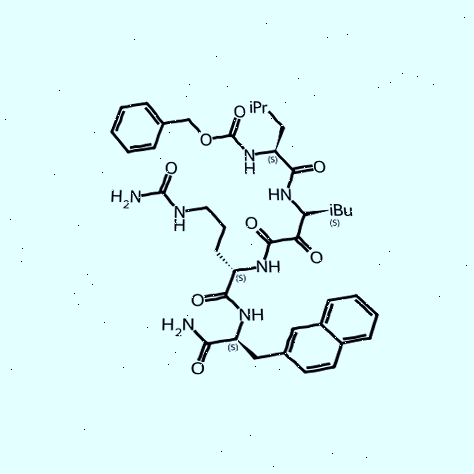 CC[C@H](C)C(NC(=O)[C@H](CC(C)C)NC(=O)OCc1ccccc1)C(=O)C(=O)N[C@@H](CCCNC(N)=O)C(=O)N[C@@H](Cc1ccc2ccccc2c1)C(N)=O